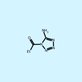 CCC(=O)n1nnnc1N